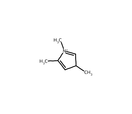 CC1=CC(C)C=[N+]1C